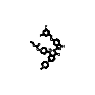 CCOC(=O)ON1CCC(Nc2cc(N3CCN(C)CC3)ccc2C(=O)Nc2n[nH]c3ccc(OCc4cc(F)cc(F)c4)cc23)CC1